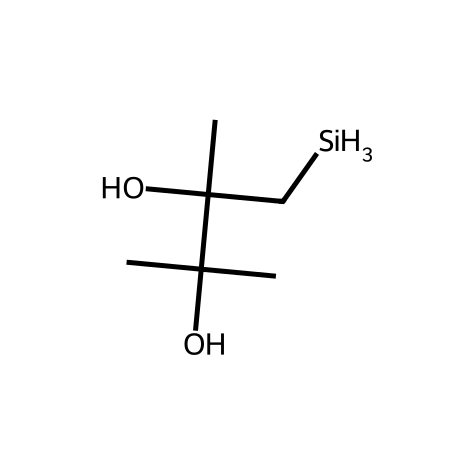 CC(C)(O)C(C)(O)C[SiH3]